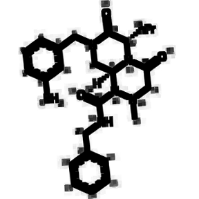 Bc1cccc(CN2C[C@H]3N(C(=O)CN(C)N3C(=O)NCc3ccccc3)[C@@H](CCC)C2=O)c1